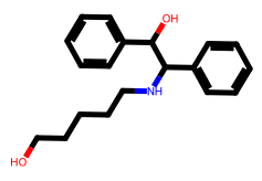 OCCCCCNC(c1ccccc1)C(O)c1ccccc1